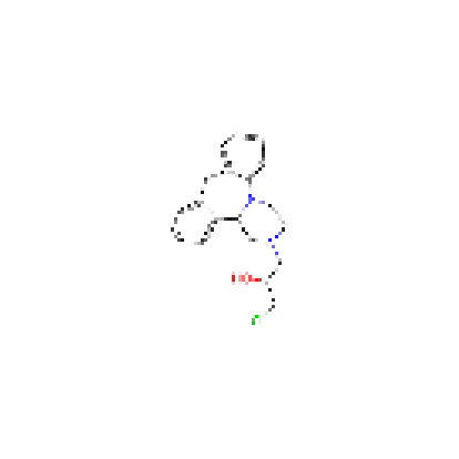 OC(CCl)CN1CCN2c3ccccc3Cc3ccccc3C2C1